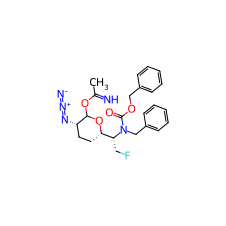 CC(=N)OC1O[C@H]([C@@H](CF)N(Cc2ccccc2)C(=O)OCc2ccccc2)CC[C@@H]1N=[N+]=[N-]